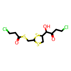 O=C(CCCl)SCC1SCC(C(O)C(=O)CCCl)S1